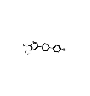 N#Cc1ncc(N2CCC(c3ccc(Br)cc3)CC2)cc1C(F)(F)F